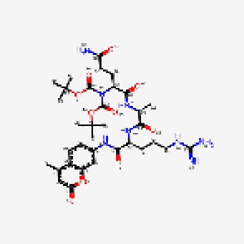 Cc1cc(=O)oc2cc(NC(=O)[C@H](CCCNC(=N)N)NC(=O)[C@H](C)NC(=O)[C@H](CCC(N)=O)N(C(=O)OC(C)(C)C)C(=O)OC(C)(C)C)ccc12